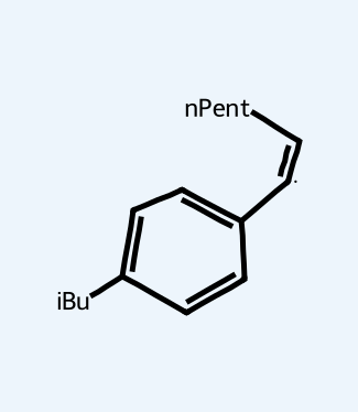 CCCCC/C=[C]\c1ccc(C(C)CC)cc1